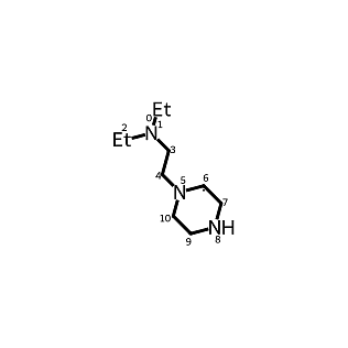 CCN(CC)CCN1[CH]CNCC1